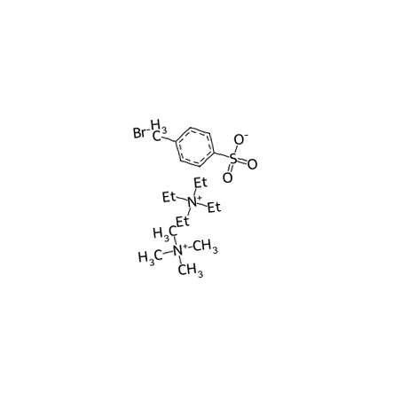 CC[N+](CC)(CC)CC.C[N+](C)(C)C.Cc1ccc(S(=O)(=O)[O-])cc1.[Br-]